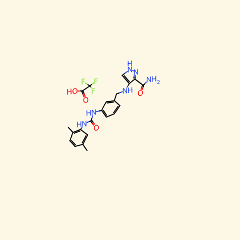 Cc1ccc(C)c(NC(=O)Nc2cccc(CNc3c[nH]nc3C(N)=O)c2)c1.O=C(O)C(F)(F)F